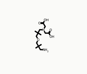 CC(C)(CN)COCC(C)(C)CN(CC(=O)O)CC(=O)O